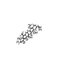 CC(C)Oc1c2c(c(O)c3cc(CN4CCC4)ccc13)C(=O)C1=C(O)C3C(=O)C(C(N)=O)=C(O)[C@@H](N(C)C)C3CC1C2